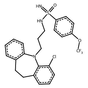 N=S(=O)(NCCCN1c2ccccc2CCc2cccc(Cl)c21)c1ccc(OC(F)(F)F)cc1